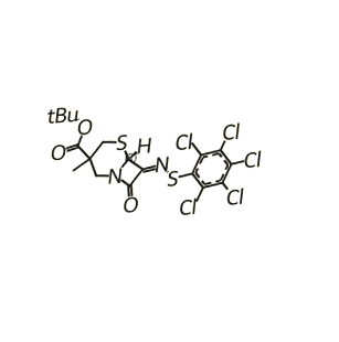 CC(C)(C)OC(=O)C1(C)CS[C@@H]2C(=NSc3c(Cl)c(Cl)c(Cl)c(Cl)c3Cl)C(=O)N2C1